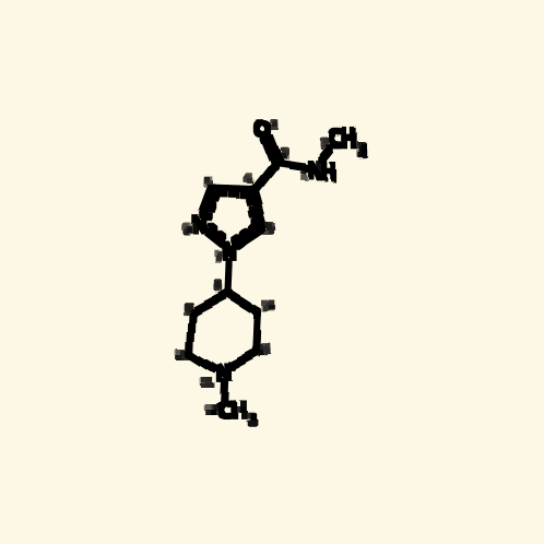 CNC(=O)c1cnn(C2CCN(C)CC2)c1